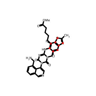 COC(=O)CCCCc1c(Nc2nc(=O)n(-c3cncc4cccc(CN)c34)c(=O)n2Cc2cc(F)c(F)c(F)c2)c(Cl)cc2nc(C)oc12